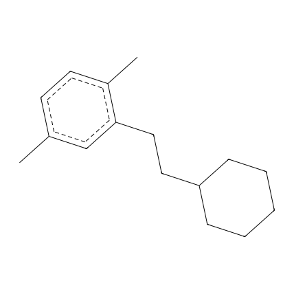 Cc1ccc(C)c(CCC2CCCCC2)c1